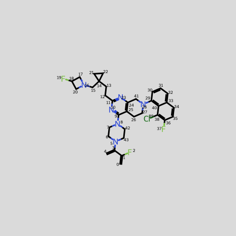 C=C(F)C(=C)N1CCN(c2nc(CCC3(CN4CC(F)C4)CC3)nc3c2CCN(c2cccc4ccc(F)c(Cl)c24)C3)CC1